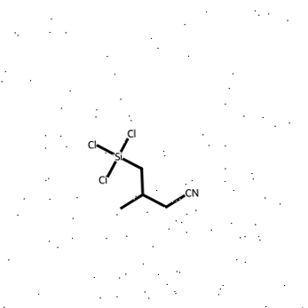 CC(CC#N)C[Si](Cl)(Cl)Cl